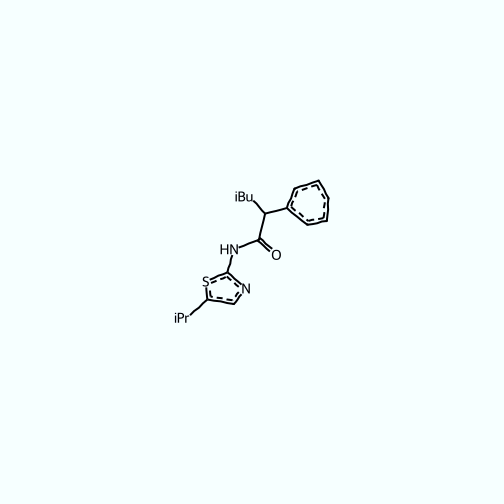 CCC(C)C(C(=O)Nc1ncc(C(C)C)s1)c1ccccc1